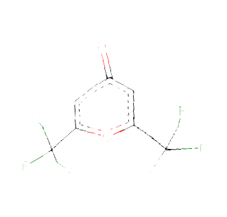 O=c1cc(C(F)(F)F)oc(C(F)(F)F)c1